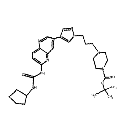 CC(C)(C)OC(=O)N1CCN(CCCn2cc(-c3cnc4ccc(NC(=O)NC5CCCC5)nc4c3)cn2)CC1